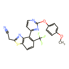 COc1ccc(Oc2nccc(-c3c(C(F)(F)F)ccc4sc(CC#N)nc34)n2)cc1